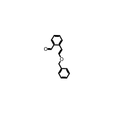 O=Cc1ccccc1C=COCc1ccccc1